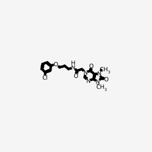 Cn1c(=O)n(C)c2c(=O)n(CC(=O)NCCCOc3cccc(Cl)c3)cnc21